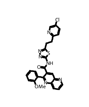 COc1ccccc1-c1nc2cccnc2cc1C(=O)Nc1nnc(CCc2ccc(Cl)cn2)s1